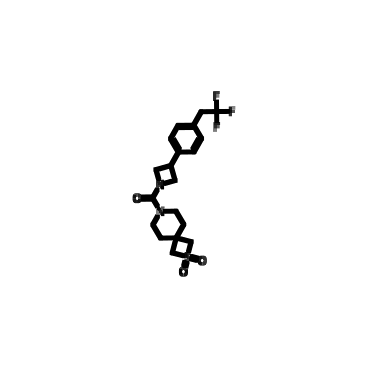 O=C(N1CCC2(CC1)CS(=O)(=O)C2)N1CC(c2ccc(CC(F)(F)F)cc2)C1